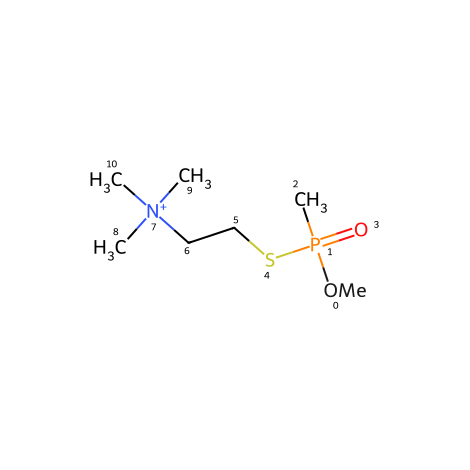 COP(C)(=O)SCC[N+](C)(C)C